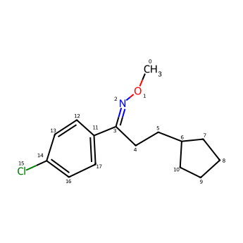 CON=C(CCC1CCCC1)c1ccc(Cl)cc1